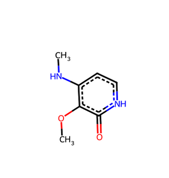 CNc1cc[nH]c(=O)c1OC